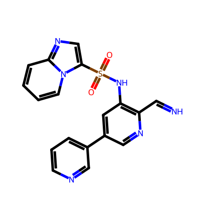 N=Cc1ncc(-c2cccnc2)cc1NS(=O)(=O)c1cnc2ccccn12